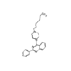 CCCCCCN1CCN(c2nc(-c3ccccc3)nc3ccccc23)CC1